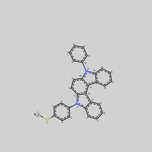 CSc1ccc(-n2c3ccccc3c3c4c5ccccc5n(-c5ccccc5)c4ccc32)cc1